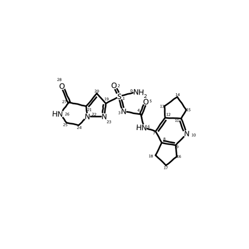 NS(=O)(=NC(=O)Nc1c2c(nc3c1CCC3)CCC2)c1cc2n(n1)CCNC2=O